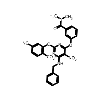 CN(C)C(=O)c1cccc(Oc2nc(Oc3cc(C#N)ccc3C(=O)O)nc(NCc3ccccc3)c2[N+](=O)[O-])c1